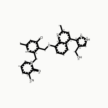 Cc1cc(Cl)c(COc2cccc3c(-c4n[nH]cc4CO)cc(C)nc23)c(Cn2cccc(C#N)c2=O)n1